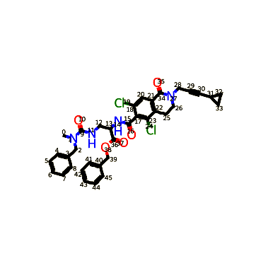 CN(Cc1ccccc1)C(=O)NCC(NC(=O)c1c(Cl)cc2c(c1Cl)CCN(CC#CC1CC1)C2=O)C(=O)OCc1ccccc1